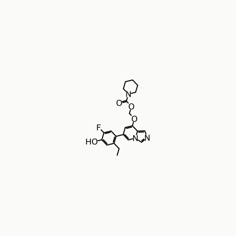 CCc1cc(O)c(F)cc1-c1cc(OCOC(=O)N2CCCCC2)c2cncn2c1